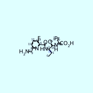 C/C=C(\NC(=O)c1nc(CN)ccc1F)C(=O)N[C@H](C(=O)O)C(C)C